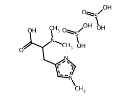 CN(C)C(Cc1cn(C)cn1)C(=O)O.O=S(O)O.O=S(O)O